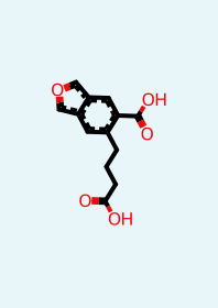 O=C(O)CCCc1cc2cocc2cc1C(=O)O